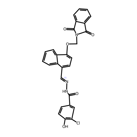 O=C(N/N=C/c1ccc(OCN2C(=O)c3ccccc3C2=O)c2ccccc12)c1ccc(O)c(Cl)c1